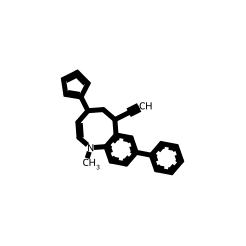 C#CC1CC(C2=CC=C=C2)/C=C\N(C)c2ccc(-c3ccccc3)cc21